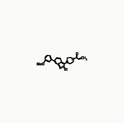 C=CC(=O)N1CCN(c2c3ccc(-c4cccc(OC)c4)cc3nn2CC)CC1